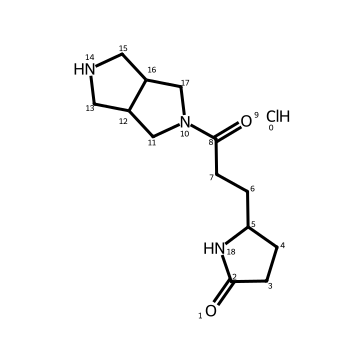 Cl.O=C1CCC(CCC(=O)N2CC3CNCC3C2)N1